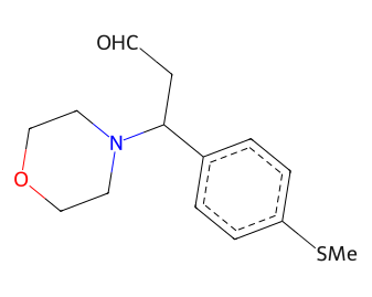 CSc1ccc(C(CC=O)N2CCOCC2)cc1